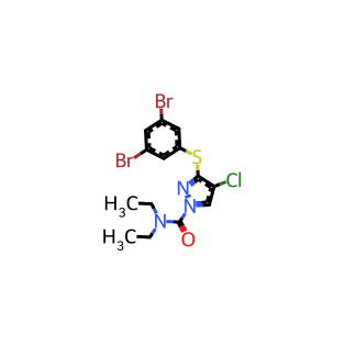 CCN(CC)C(=O)n1cc(Cl)c(Sc2cc(Br)cc(Br)c2)n1